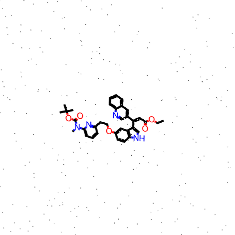 CCOC(=O)C=C(c1cnc2ccccc2c1)c1c[nH]c2ccc(OCCc3cccc(N(C)C(=O)OC(C)(C)C)n3)cc12